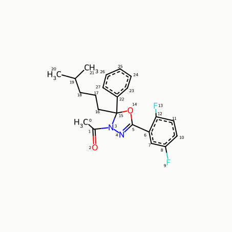 CC(=O)N1N=C(c2cc(F)ccc2F)OC1(CCCC(C)C)c1ccccc1